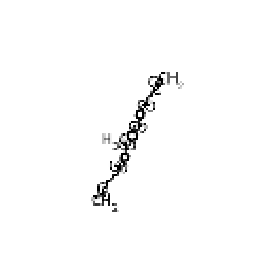 C=CC(=O)OCCCCCC(=O)Oc1ccc(C(=O)Oc2ccc(OC(=O)c3ccc(OC(=O)CCCOC(=O)C=C)cc3)cc2C)cc1